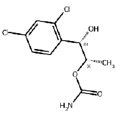 C[C@H](OC(N)=O)[C@@H](O)c1ccc(Cl)cc1Cl